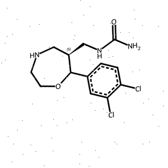 NC(=O)NC[C@@H]1CNCCOC1c1ccc(Cl)c(Cl)c1